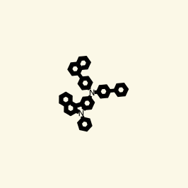 c1ccc(-c2ccc(N(c3ccc(-c4cccc5ccccc45)cc3)c3ccc4c(c3)c3c5ccccc5ccc3n4-c3ccccc3)cc2)cc1